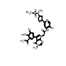 CN(C1CCC(c2cc(NC(=O)Cn3cc(-c4cc(Cl)c(O)c(C(N)=O)c4)c4c(=O)n(C)cnc43)c(Cl)cn2)C1)S(C)(=O)=O